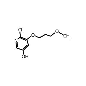 COCCCOc1cc(O)cnc1Cl